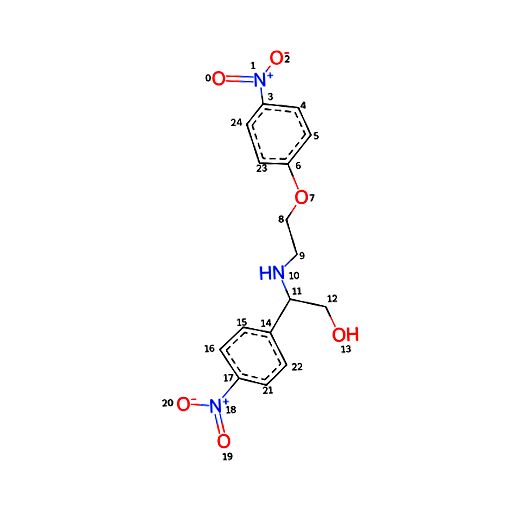 O=[N+]([O-])c1ccc(OCCNC(CO)c2ccc([N+](=O)[O-])cc2)cc1